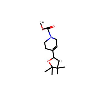 CC(C)(C)OC(=O)N1CC=C(C2BC(C)(C)C(C)(C)O2)CC1